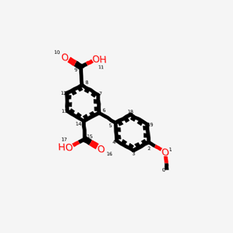 COc1ccc(-c2cc(C(=O)O)ccc2C(=O)O)cc1